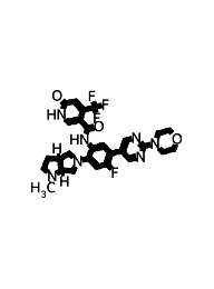 CN1CC[C@@H]2CN(c3cc(F)c(-c4cnc(N5CCOCC5)nc4)cc3NC(=O)c3c[nH]c(=O)cc3C(F)(F)F)C[C@@H]21